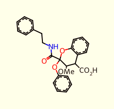 COC1C(C(=O)O)c2ccccc2OC1(Oc1ccccc1)C(=O)NCCc1ccccc1